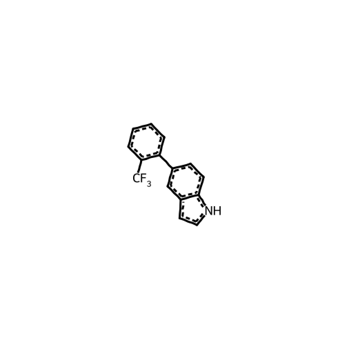 FC(F)(F)c1ccccc1-c1ccc2[nH]ccc2c1